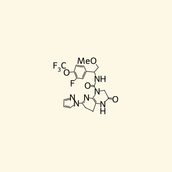 COCC(NC(=O)N1CC(=O)NC2=C1N=C(n1cccn1)CC2)c1ccc(OC(F)(F)F)c(F)c1